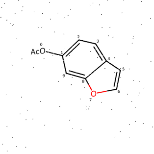 CC(=O)Oc1ccc2ccoc2c1